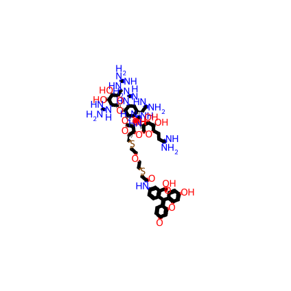 N=C(N)CCC1OC(OC2[C@@H](CSCCOCCSCC(=O)Nc3ccc(-c4c5ccc(=O)cc-5oc5cc(O)ccc45)c(C(=O)O)c3)O[C@@H](O[C@@H]3C(O)[C@H](CC(=N)N)CC(NC(=N)N)[C@H]3O[C@H]3OC(CNC(=N)N)[C@@H](O)[C@H](O)C3NC(=N)N)[C@H]2O)[C@H](NC(=N)N)C(O)[C@@H]1O